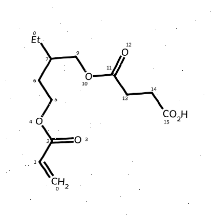 C=CC(=O)OCCC(CC)COC(=O)CCC(=O)O